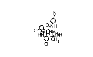 CC(C)(CO)C[C@@H]1N[C@@H](C(=O)Nc2ccc(C#N)cc2)[C@H](c2cccc(Cl)c2F)[C@]12C(=O)Nc1cc(Cl)ccc12